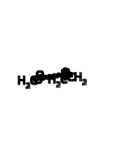 C=COC(=O)CCCCCCCCCc1cccc(C=C)c1C=C